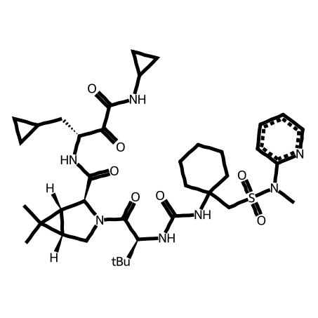 CN(c1ccccn1)S(=O)(=O)CC1(NC(=O)N[C@H](C(=O)N2C[C@H]3[C@@H]([C@H]2C(=O)N[C@H](CC2CC2)C(=O)C(=O)NC2CC2)C3(C)C)C(C)(C)C)CCCCC1